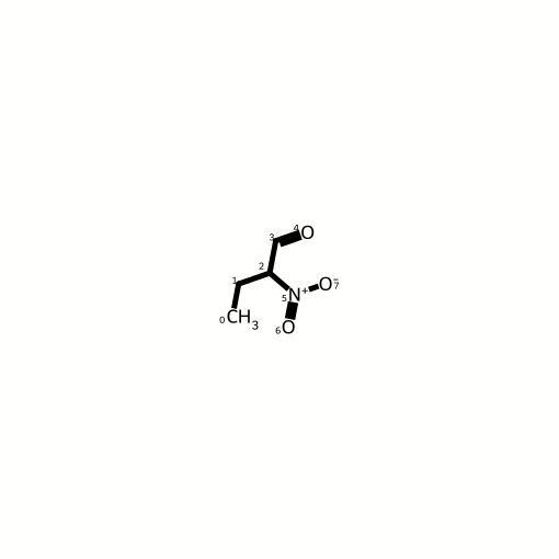 CCC(C=O)[N+](=O)[O-]